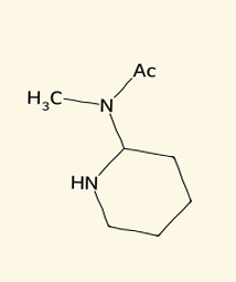 CC(=O)N(C)C1CCCCN1